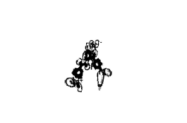 O=C(c1ccc([N+](=O)[O-])cc1)C(O)[C@H]1O[C@@H](Cl)[C@@H](O[N+](=O)[O-])[C@@]1(O)C(=O)c1ccc([N+](=O)[O-])cc1